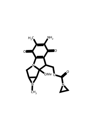 COC12C(COC(=O)N3CC3)C3=C(C(=O)C(C)=C(N)C3=O)N1CC1C2N1C